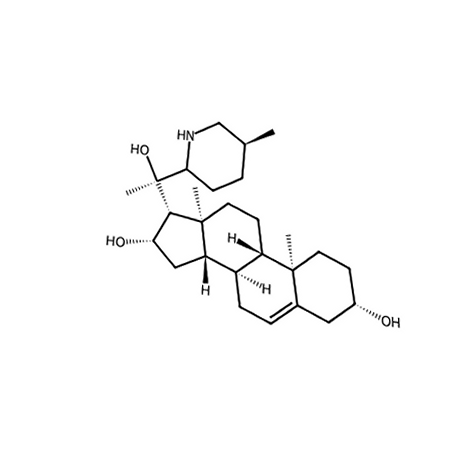 C[C@H]1CCC([C@](C)(O)[C@H]2[C@@H](O)C[C@H]3[C@@H]4CC=C5C[C@@H](O)CC[C@]5(C)[C@H]4CC[C@@]32C)NC1